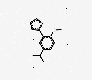 COc1ccc(C(C)C)cc1-c1cc[c]s1